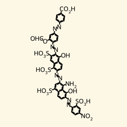 Nc1c(N=Nc2ccc3c(O)c(N=Nc4ccc(N=Nc5ccc(C(=O)O)cc5)cc4OC=O)c(S(=O)(=O)O)cc3c2S(=O)(=O)O)cc(S(=O)(=O)O)c2ccc(N=Nc3ccc([N+](=O)[O-])cc3S(=O)(=O)O)c(O)c12